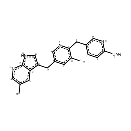 COc1ccc([CH]c2ncc(Cc3c[nH]c4ncc(C)cc34)cc2F)cn1